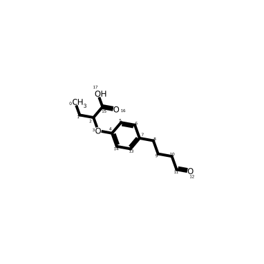 CCC(Oc1ccc(CCCC=O)cc1)C(=O)O